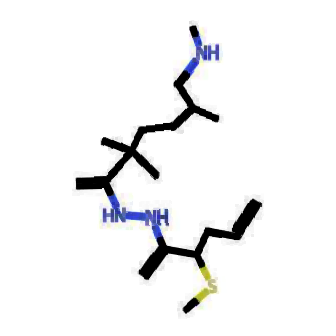 C=CCC(SC)C(=C)NNC(=C)C(C)(C)CCC(C)CNC